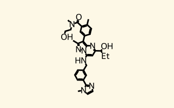 CCC(O)c1cc(NCc2cccc(-c3nccn3C)c2)n2nc(C)c(-c3ccc(C)c(C(=O)N(C)CCO)c3)c2n1